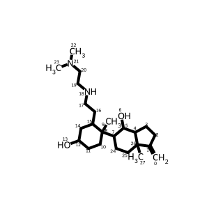 C=C1CCC2C(O)C(C3(C)CCC(O)CC3CCNCCN(C)C)CCC12C